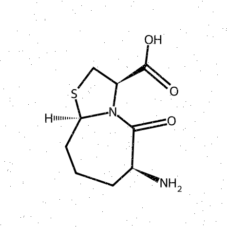 N[C@H]1CCC[C@H]2SC[C@@H](C(=O)O)N2C1=O